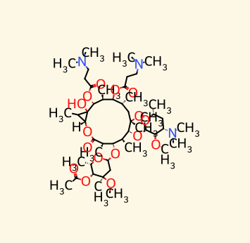 CO[C@H]1[C@H](O[C@@H]2[C@@H](C)[C@H](O[C@H]3C[C@@](C)(OC)[C@@H](OC(C)=O)[C@H](C)O3)[C@@H](C)C(=O)O[C@@H]3C(C)[C@]3(O)[C@H](OC(=O)CCN(C)C)[C@@H](C)[C@@H](OC(=O)CCN(C)C)[C@H](C)C[C@]2(C)OC)O[C@H](C)C[C@@H]1N(C)C